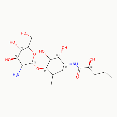 CCC[C@H](O)C(=O)N[C@@H]1CC(C)[C@@H](O[C@H]2OC(CO)[C@@H](O)[C@H](O)C2N)C(O)[C@@H]1O